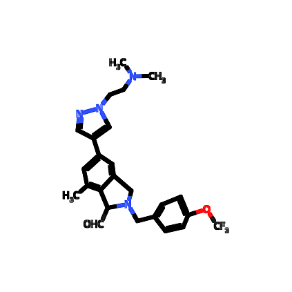 Cc1cc(-c2cnn(CCN(C)C)c2)cc2c1C(C=O)N(Cc1ccc(OC(F)(F)F)cc1)C2